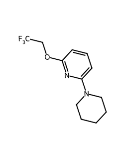 FC(F)(F)COc1cccc(N2CCCCC2)n1